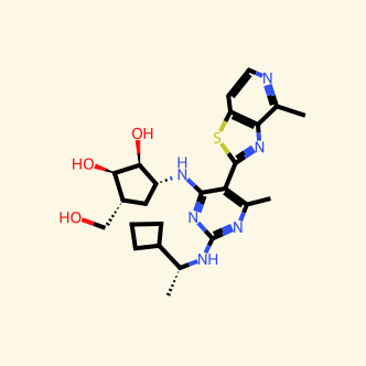 Cc1nc(N[C@H](C)C2CCC2)nc(N[C@@H]2C[C@H](CO)[C@@H](O)[C@H]2O)c1-c1nc2c(C)nccc2s1